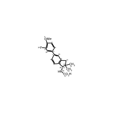 COc1ccc(-c2ccc3c(c2)CC(C)(C)[C@H]3NC(=O)O)cc1F